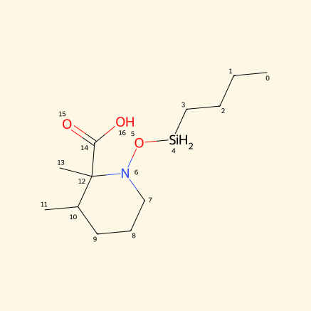 CCCC[SiH2]ON1CCCC(C)C1(C)C(=O)O